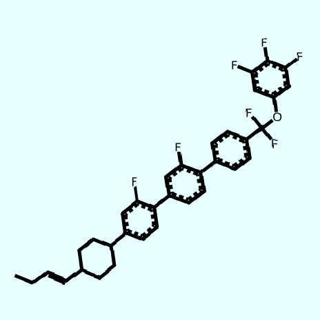 CC/C=C/C1CCC(c2ccc(-c3ccc(-c4ccc(C(F)(F)Oc5cc(F)c(F)c(F)c5)cc4)c(F)c3)c(F)c2)CC1